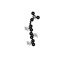 CC1(C)c2ccccc2-c2ccc(-c3ccc4c(c3)C(C)(C)c3cc(-c5ccc6c(c5)C(C)(C)c5cc(CCCc7ccc(-c8nc(-c9ccccc9)nc(-c9ccccc9)n8)cc7)ccc5-6)ccc3-4)cc21